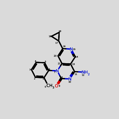 Cc1ccccc1-n1c(=O)nc(N)c2cnc(C3CC3)cc21